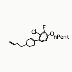 C=CCCC1CC=C(c2ccc(OCCCCC)c(F)c2Cl)CC1